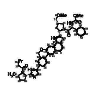 COC[C@H]1C[C@@H](c2nc3ccc4cc5c(cc4c3[nH]2)OCc2cc(-c3cnc([C@@H]4CC[C@H](C)N4C(=O)[CH]C(C)C)[nH]3)ccc2-5)N(C(=O)[C@H](NC(=O)OC)c2ccccc2)C1